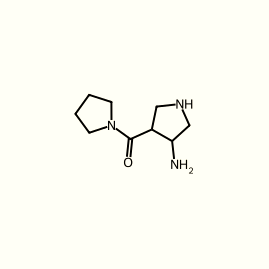 NC1CNCC1C(=O)N1CCCC1